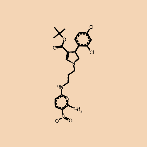 CC(C)(C)OC(=O)C1=CN(CCCNc2ccc([N+](=O)[O-])c(N)n2)CC1c1ccc(Cl)cc1Cl